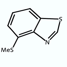 CSc1cccc2scnc12